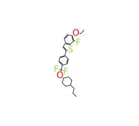 CCCC1CCC(OC(F)(F)c2ccc(-c3cc4ccc(OCC)c(F)c4s3)cc2)CC1